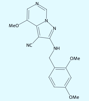 COc1ccc(CNc2nn3cncc(OC)c3c2C#N)c(OC)c1